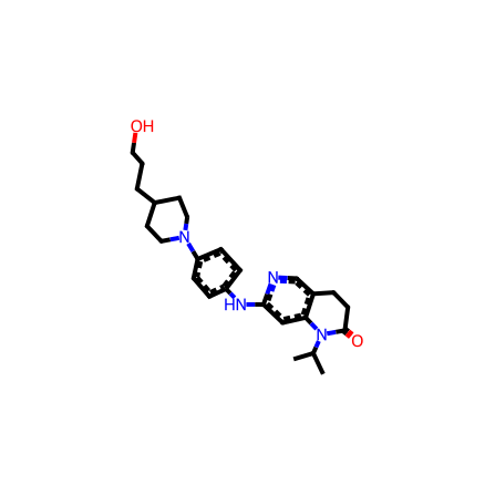 CC(C)N1C(=O)CCc2cnc(Nc3ccc(N4CCC(CCCO)CC4)cc3)cc21